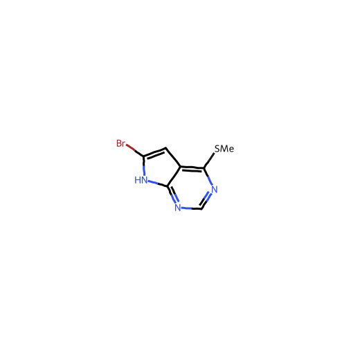 CSc1ncnc2[nH]c(Br)cc12